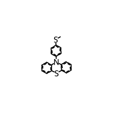 CSc1ccc(N2c3ccccc3Sc3ccccc32)cc1